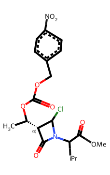 COC(=O)C(C(C)C)N1C(=O)[C@H](C(C)OC(=O)OCc2ccc([N+](=O)[O-])cc2)C1Cl